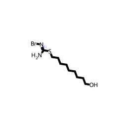 N/C(=N\Br)SCCCCCCCCCO